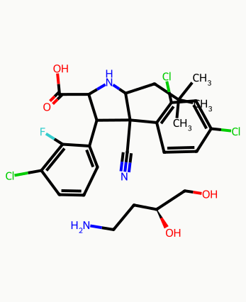 CC(C)(C)CC1NC(C(=O)O)C(c2cccc(Cl)c2F)C1(C#N)c1ccc(Cl)cc1Cl.NCC[C@H](O)CO